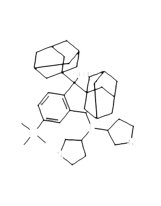 C[Si](C)(C)c1ccc(C(P)(C23CC4CC(CC(C4)C2)C3)C23CC4CC(CC(C4)C2)C3)c(CP(C2CCNC2)C2CCNC2)c1